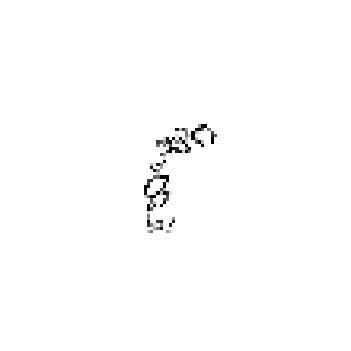 C[C@@]1(c2ccccc2)C=CN(CCOc2ccc3c(ccn3CC(=O)O)c2)N1